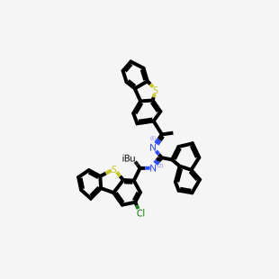 CCC(C)C(/N=C(\N=C(/C)c1ccc2c(c1)sc1ccccc12)c1cccc2ccccc12)c1cc(Cl)cc2c1sc1ccccc12